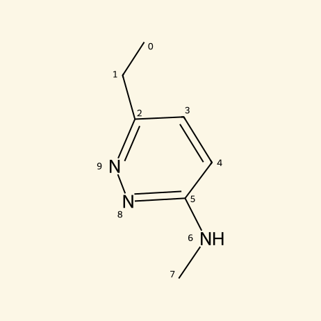 CCc1ccc(NC)nn1